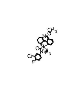 COc1nc2c(c3ccccc13)[C@@H](N(C)C(=O)Nc1ccc(F)c(Cl)c1)CCC2